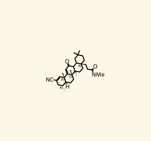 CNC(=O)CC[C@]12CCC(C)(C)CC1C1C(=O)C=C3[C@@]4(C)C=C(C#N)C[C@@H](C)[C@@H]4CC[C@@]3(C)[C@]1(C)CC2